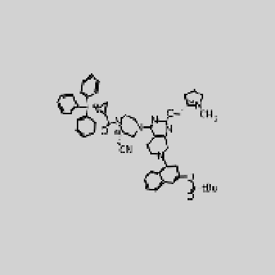 CN1CCC[C@H]1COc1nc2c(c(N3CCN(C(=O)C4C[N@@]4C(c4ccccc4)(c4ccccc4)c4ccccc4)[C@@H](CC#N)C3)n1)CCN(c1cc(OC(=O)C(C)(C)C)cc3ccccc13)C2